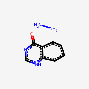 NN.O=c1nc[nH]c2ccccc12